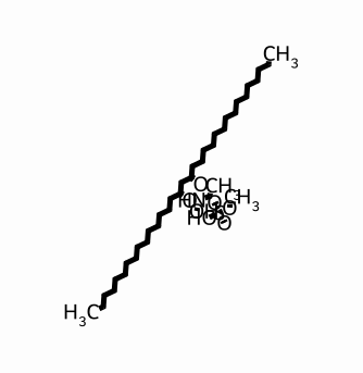 CCCCCCCCCCCCCCCC(=O)CC(=O)CCCCCCCCCCCCCCC.CCNO.COS(=O)(=O)O